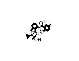 Cc1ccc(Cl)c(C(=O)Nc2cccc3c2C(=O)N([C@@H](C2CC2)C(C)(C)O)C3)c1F